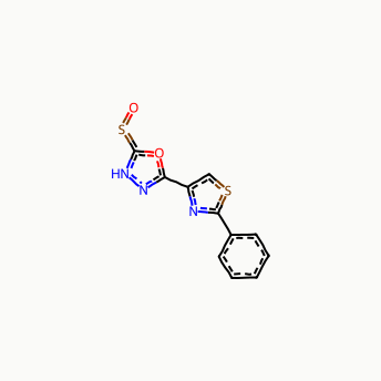 O=S=c1[nH]nc(-c2csc(-c3ccccc3)n2)o1